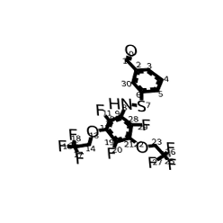 O=Cc1cccc(SNc2c(F)c(OCC(F)(F)F)c(F)c(OCC(F)(F)F)c2F)c1